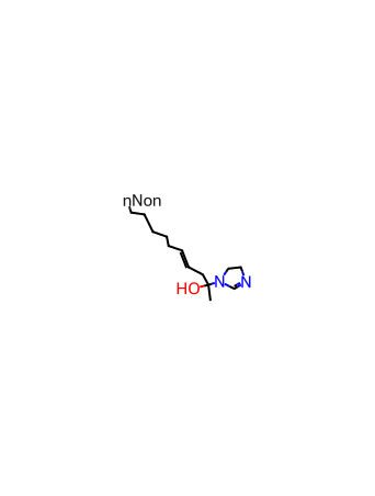 CCCCCCCCCCCCCCC=CCC(C)(O)N1C=NCC1